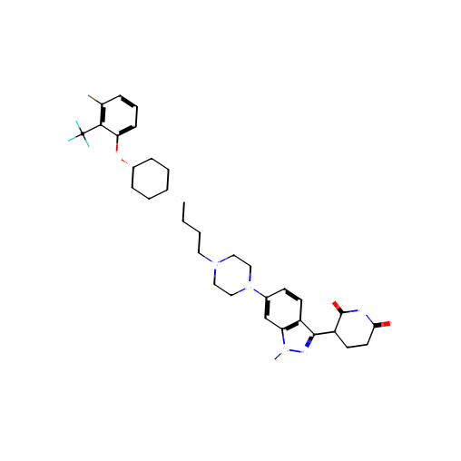 Cn1nc(C2CCC(=O)NC2=O)c2ccc(N3CCN(CCCC[C@H]4CC[C@H](Oc5cccc(Br)c5C(F)(F)F)CC4)CC3)cc21